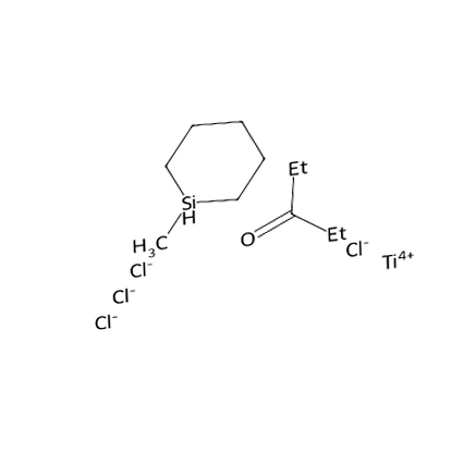 CCC(=O)CC.C[SiH]1CCCCC1.[Cl-].[Cl-].[Cl-].[Cl-].[Ti+4]